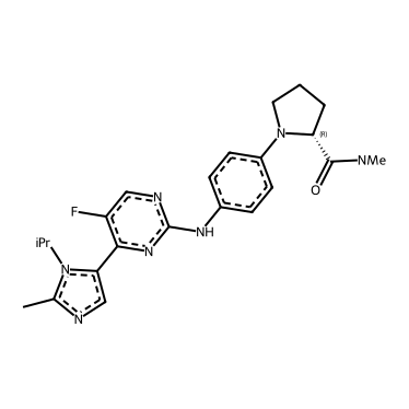 CNC(=O)[C@H]1CCCN1c1ccc(Nc2ncc(F)c(-c3cnc(C)n3C(C)C)n2)cc1